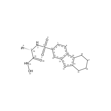 CC(C)[C@H](NS(=O)(=O)c1ccc2c3c(oc2c1)CCCC3)C(=O)NO